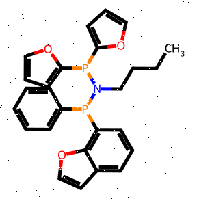 CCCCN(P(c1ccco1)c1ccco1)P(c1ccccc1)c1cccc2ccoc12